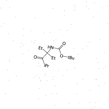 CCC(CC)(NC(=O)OC(C)(C)C)C(=O)C(C)C